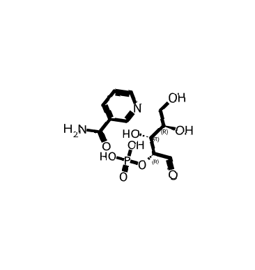 NC(=O)c1cccnc1.O=C[C@H](OP(=O)(O)O)[C@H](O)[C@H](O)CO